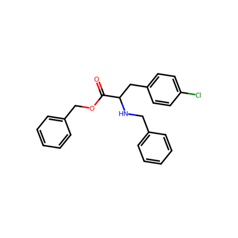 O=C(OCc1ccccc1)C(Cc1ccc(Cl)cc1)NCc1ccccc1